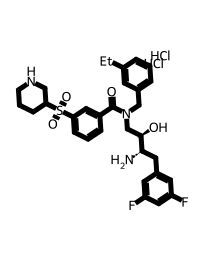 CCc1cccc(CN(C[C@@H](O)[C@@H](N)Cc2cc(F)cc(F)c2)C(=O)c2cccc(S(=O)(=O)C3CCCNC3)c2)c1.Cl.Cl